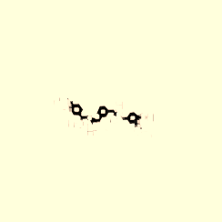 COc1cc(CNC(=O)Cc2cccc(CC(C)(C)NC[C@@H](O)c3ccc(N)nc3)c2)ccc1O